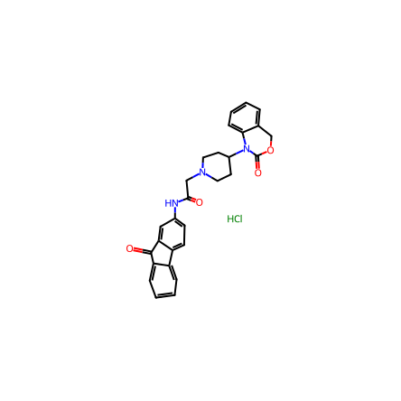 Cl.O=C(CN1CCC(N2C(=O)OCc3ccccc32)CC1)Nc1ccc2c(c1)C(=O)c1ccccc1-2